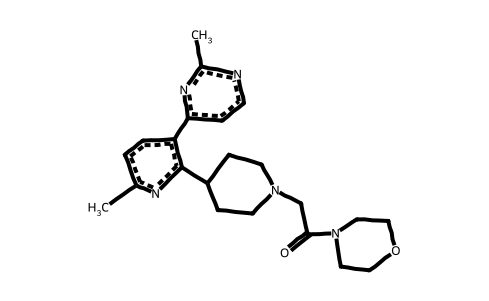 Cc1ccc(-c2ccnc(C)n2)c(C2CCN(CC(=O)N3CCOCC3)CC2)n1